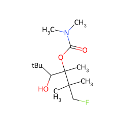 CN(C)C(=O)OC(C)(C(O)C(C)(C)C)C(C)(C)CF